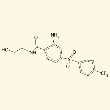 Nc1cc(S(=O)(=O)c2ccc(C(F)(F)F)cc2)cnc1C(=O)NCCO